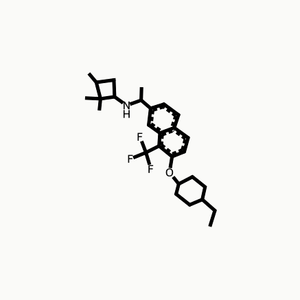 CCC1CCC(Oc2ccc3ccc(C(C)NC4CC(C)C4(C)C)cc3c2C(F)(F)F)CC1